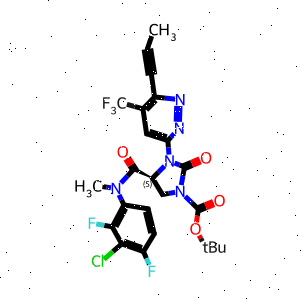 CC#Cc1nnc(N2C(=O)N(C(=O)OC(C)(C)C)C[C@H]2C(=O)N(C)c2ccc(F)c(Cl)c2F)cc1C(F)(F)F